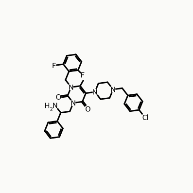 Cc1c(N2CCN(Cc3ccc(Cl)cc3)CC2)c(=O)n(CC(N)c2ccccc2)c(=O)n1Cc1c(F)cccc1F